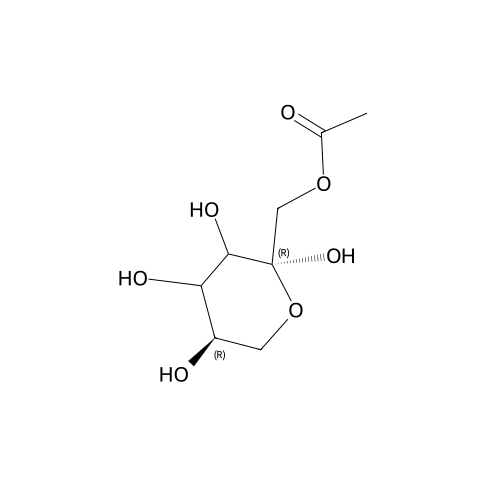 CC(=O)OC[C@@]1(O)OC[C@@H](O)C(O)C1O